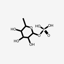 CC1OC(OP(=O)(O)O)C(O)C(O)C1O